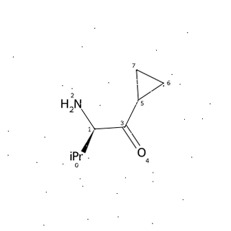 CC(C)[C@@H](N)C(=O)C1[CH]C1